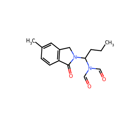 CCCC(N(C=O)C=O)N1Cc2cc(C)ccc2C1=O